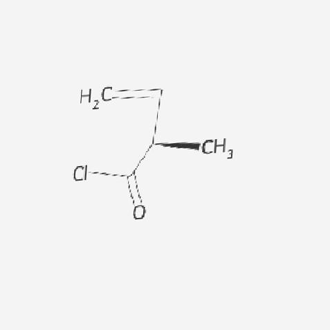 C=C[C@@H](C)C(=O)Cl